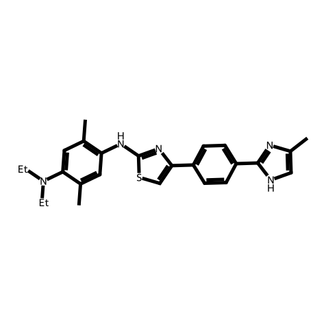 CCN(CC)c1cc(C)c(Nc2nc(-c3ccc(-c4nc(C)c[nH]4)cc3)cs2)cc1C